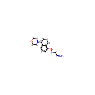 NCCCOc1cccc2c1CCCC2N1CCOCC1